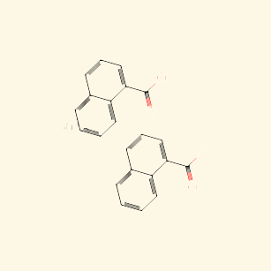 O=C([O-])c1cccc2ccccc12.O=C([O-])c1cccc2ccccc12.[Sn+2]